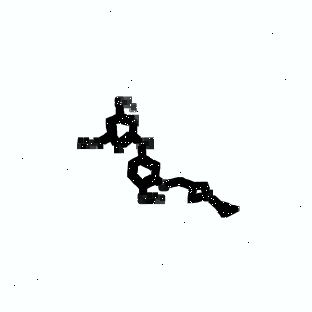 CNc1cc(C)nc(Nc2ccc(OC)c(OCC3CN(C4CC4)C3)c2)n1